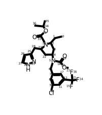 CCC1CC(N(Cc2cc(Cl)cc(C(F)(F)F)c2)C(=O)OC)CC(Cc2cc[nH]n2)N1C(=O)OC(C)C